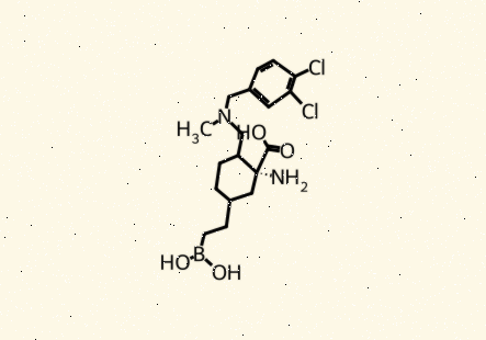 CN(Cc1ccc(Cl)c(Cl)c1)CC1CCC(CCB(O)O)C[C@]1(N)C(=O)O